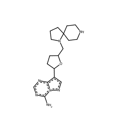 Nc1ncnc2c(C3CCC(CN4CCCC45CCNCC5)O3)cnn12